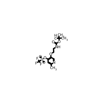 Cc1cc(OS(=O)(=O)C(F)(F)F)c(OCCNC(=O)OC(C)(C)C)cn1